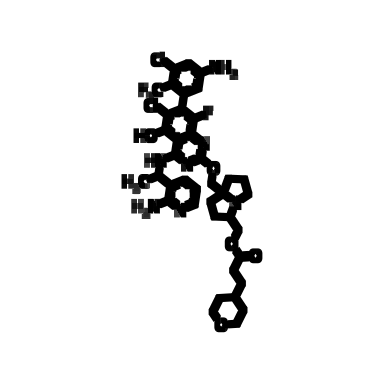 CC(Nc1nc(OCC23CCCN2C(COC(=O)CCC2CCOCC2)CC3)nc2c(F)c(-c3cc(N)cc(Cl)c3C(F)(F)F)c(Cl)c(O)c12)c1cccnc1N